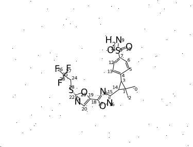 CC1(C)C(c2ccc(S(N)(=O)=O)cc2)C1c1noc(-c2cnc(SCC(F)(F)F)o2)n1